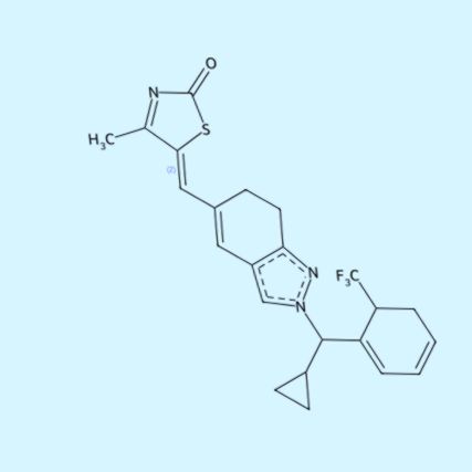 CC1=NC(=O)S/C1=C\C1=Cc2cn(C(C3=CC=CCC3C(F)(F)F)C3CC3)nc2CC1